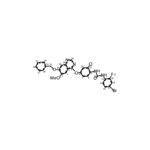 COc1cc2c(Oc3ccc(NC(=O)Nc4ccc(Br)cc4F)c(Cl)c3)ncnc2cc1OCc1ccccc1